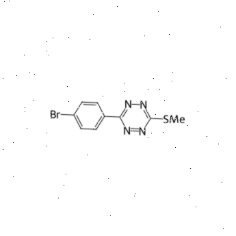 CSc1nnc(-c2ccc(Br)cc2)nn1